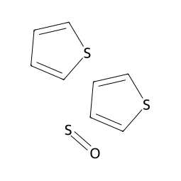 O=S.c1ccsc1.c1ccsc1